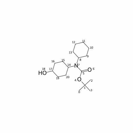 CC(C)(C)OC(=O)N(C1CCCCC1)C1CCC(O)CC1